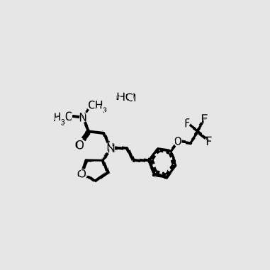 CN(C)C(=O)CN(CCc1cccc(OCC(F)(F)F)c1)C1CCOC1.Cl